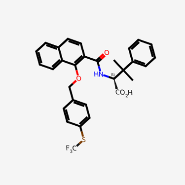 CC(C)(c1ccccc1)[C@H](NC(=O)c1ccc2ccccc2c1OCc1ccc(SC(F)(F)F)cc1)C(=O)O